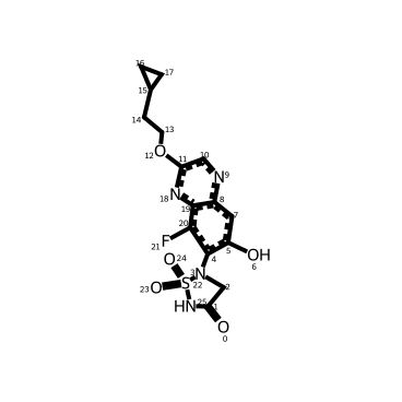 O=C1CN(c2c(O)cc3ncc(OCCC4CC4)nc3c2F)S(=O)(=O)N1